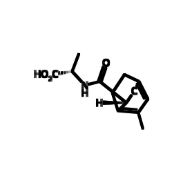 CC1=C2CCC(=C1)C[C@H]2C(=O)N[C@@H](C)C(=O)O